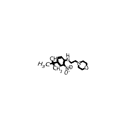 CC(C)(C)c1ccc(NCCN2CCOCC2)c([N+](=O)[O-])c1